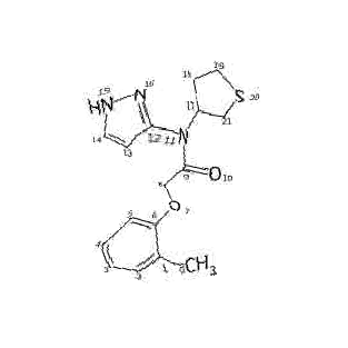 Cc1ccccc1OCC(=O)N(c1cc[nH]n1)C1CCSC1